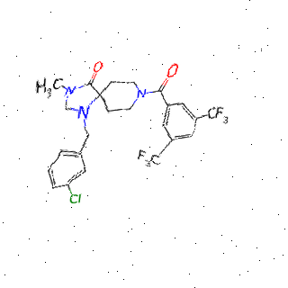 CN1CN(Cc2cccc(Cl)c2)C2(CCN(C(=O)c3cc(C(F)(F)F)cc(C(F)(F)F)c3)CC2)C1=O